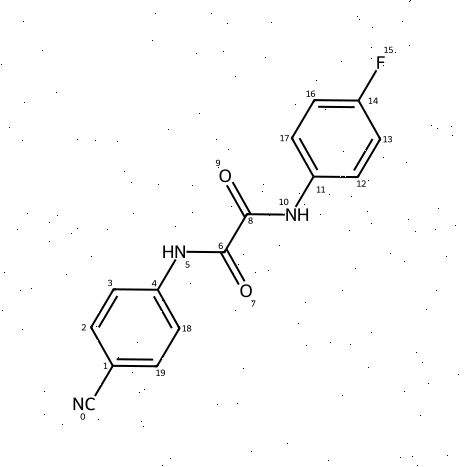 N#Cc1ccc(NC(=O)C(=O)Nc2ccc(F)cc2)cc1